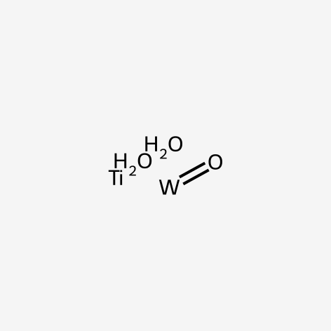 O.O.[O]=[W].[Ti]